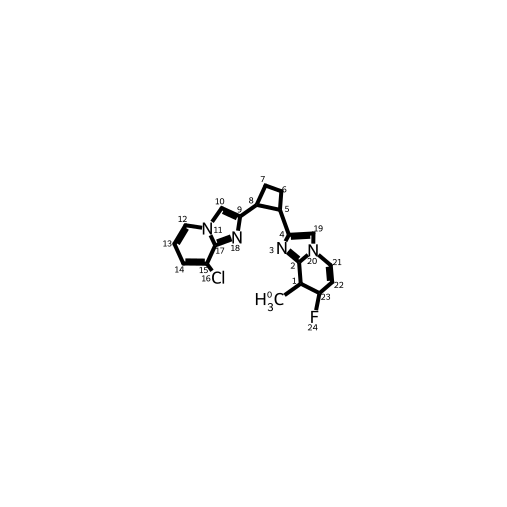 CC1c2nc(C3CCC3c3cn4cccc(Cl)c4n3)cn2C=CC1F